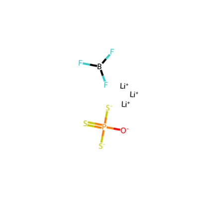 FB(F)F.[Li+].[Li+].[Li+].[O-]P(=S)([S-])[S-]